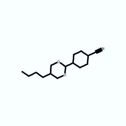 CCCCC1COC(C2CCC(C#N)CC2)OC1